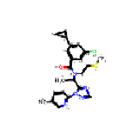 CC(c1ncnn1-c1ccc(C#N)cn1)N(CCSC(F)(F)F)C(=O)c1cc(Cl)cc(C2CC2)c1